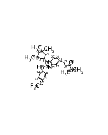 C[C@H]1CC(n2c(Nc3ccc(OC(F)(F)F)cc3)nc3cc(CCC(=O)N(C)C)ccc32)CC(C)(C)C1